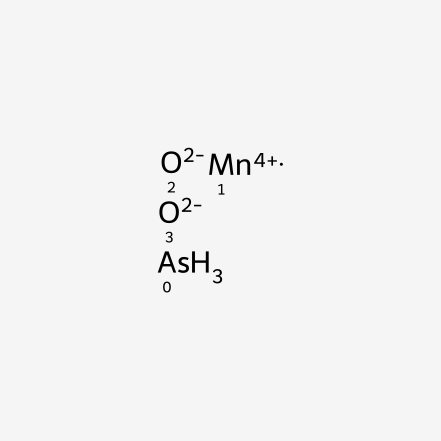 [AsH3].[Mn+4].[O-2].[O-2]